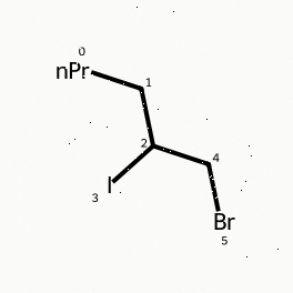 CCCCC(I)CBr